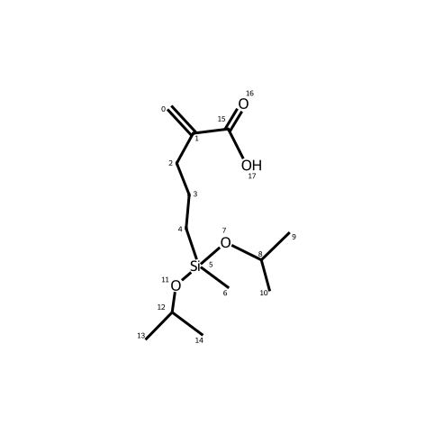 C=C(CCC[Si](C)(OC(C)C)OC(C)C)C(=O)O